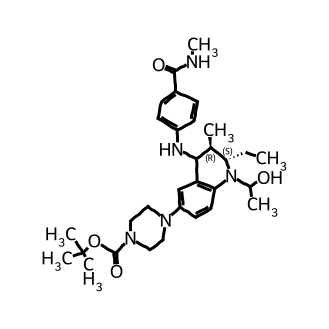 CC[C@H]1[C@H](C)C(Nc2ccc(C(=O)NC)cc2)c2cc(N3CCN(C(=O)OC(C)(C)C)CC3)ccc2N1C(C)O